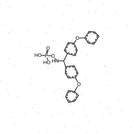 O=P(O)(O)ONC(c1ccc(Oc2ccccc2)cc1)c1ccc(Oc2ccccc2)cc1